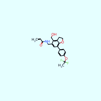 C=CC(=O)NCc1cc(-c2ccc(OC(C)(F)F)cc2)c2c(c1CO)CCO2